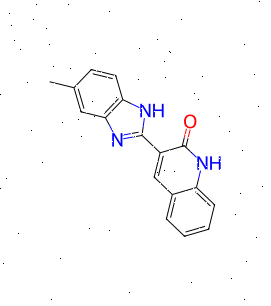 Cc1ccc2[nH]c(-c3cc4ccccc4[nH]c3=O)nc2c1